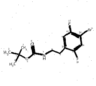 CC(C)(C)OC(=O)NCCc1cc(F)c(Br)cc1F